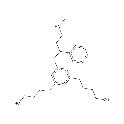 CNCCC(Oc1cc(CCCCO)cc(CCCCO)c1)c1ccccc1